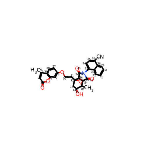 Cc1cc(=O)oc2cc(OCCC34CC(O)C(C)(O3)C3C(=O)N(c5ccc(C#N)c6ccccc56)C(=O)C34)ccc12